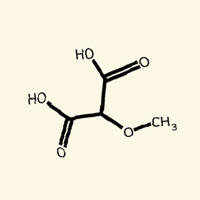 COC(C(=O)O)C(=O)O